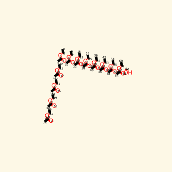 CCOC(C)=O.CCOC(C)=O.CCOC(C)=O.CCOC(C)=O.CCOC(C)=O.CCOC(C)=O.CCOC(C)=O.CCOC(C)=O.CCOC(C)=O.CCOC(C)=O.CCOC(C)=O.CCOC(C)=O.CO